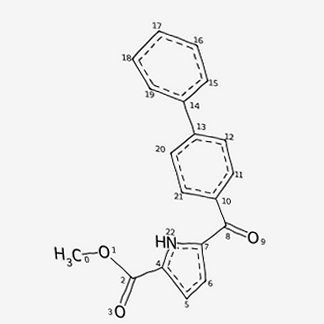 COC(=O)c1ccc(C(=O)c2ccc(-c3ccccc3)cc2)[nH]1